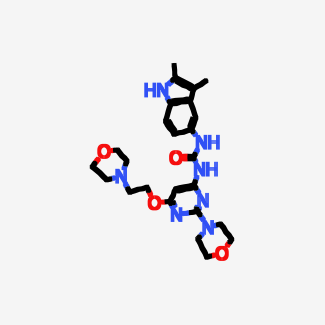 Cc1[nH]c2ccc(NC(=O)Nc3cc(OCCN4CCOCC4)nc(N4CCOCC4)n3)cc2c1C